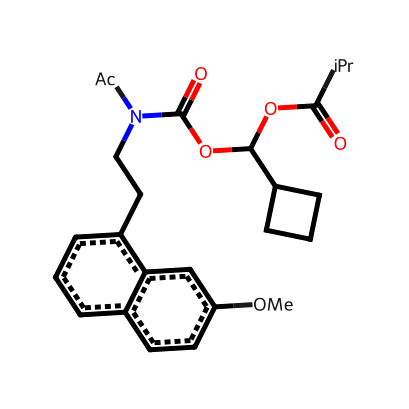 COc1ccc2cccc(CCN(C(C)=O)C(=O)OC(OC(=O)C(C)C)C3CCC3)c2c1